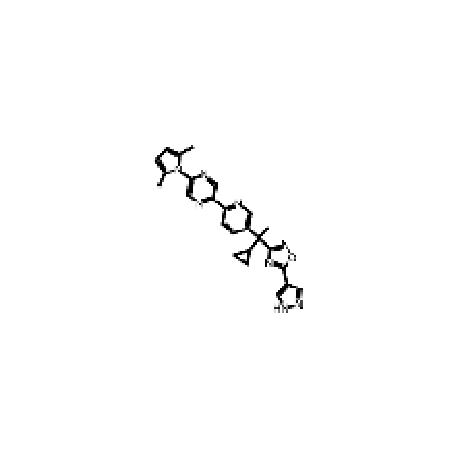 Cc1ccc(C)n1-c1cnc(-c2ccc(C(C)(c3noc(-c4cn[nH]c4)n3)C3CC3)cn2)cn1